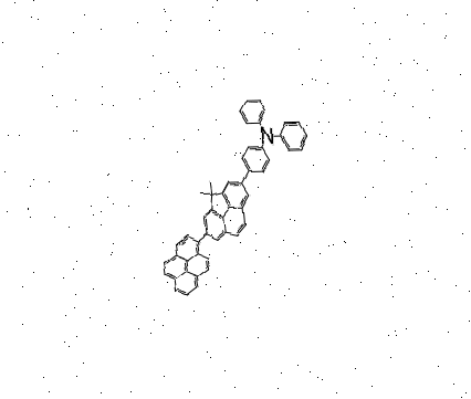 CC1(C)c2cc(-c3ccc(N(c4ccccc4)c4ccccc4)cc3)cc3ccc4cc(-c5ccc6ccc7cccc8ccc5c6c78)cc1c4c23